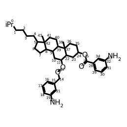 CC(C)CCCCC1CCC2C3CC(OOCc4cccc(N)c4)C4CC(OC(=O)c5cccc(N)c5)CCC4(C)C3CCC12C